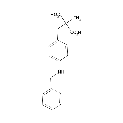 CC(Cc1ccc(NCc2ccccc2)cc1)(C(=O)O)C(=O)O